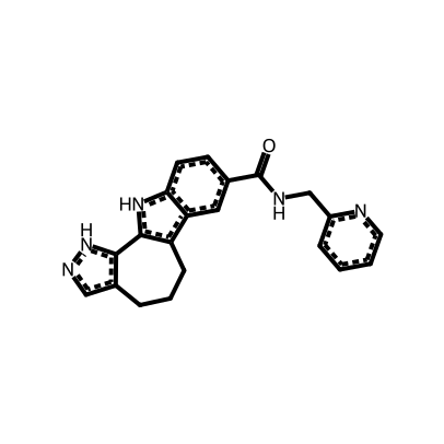 O=C(NCc1ccccn1)c1ccc2[nH]c3c(c2c1)CCCc1cn[nH]c1-3